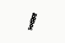 C=NC12CCCC1C1CCC3C4(C)CC=C(c5ccc(C(=O)OC)cc5)C(C)(C)C4CCC3(C)[C@]1(C)CC2